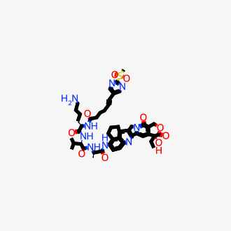 CC[C@@]1(O)C(=O)OCc2c1cc1n(c2=O)Cc2c-1nc1ccc(NC(=O)[C@H](C)NC(=O)[C@@H](NC(=O)[C@H](CCCCN)NC(=O)CCCC#Cc3cnc(S(C)(=O)=O)nc3)C(C)C)c3c1c2CCC3